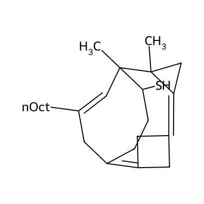 CCCCCCCC/C1=C\C2(C)C(S)CCC(=C3CC(=C4CC42C)C3)C1